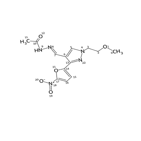 COCCn1cc(C=NNC(C)=O)c(-c2ccc([N+](=O)[O-])o2)n1